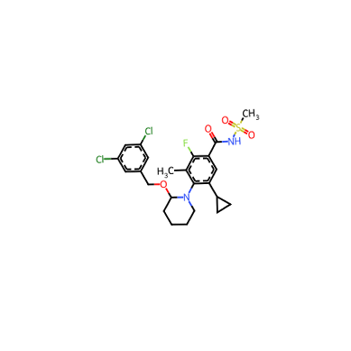 Cc1c(F)c(C(=O)NS(C)(=O)=O)cc(C2CC2)c1N1CCCCC1OCc1cc(Cl)cc(Cl)c1